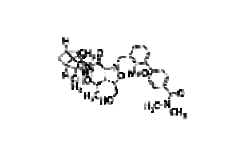 COc1c(CN2O[C@@H](CO)[C@@H]([C@H](C)O)[C@H]2C(=O)N[C@H]2C[C@H]3C[C@@H]([C@@H]2C)C3(C)C)cccc1-c1ccc(C(=O)N(C)C)cc1